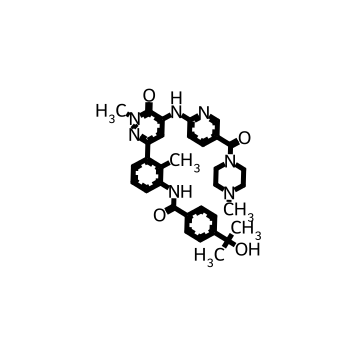 Cc1c(NC(=O)c2ccc(C(C)(C)O)cc2)cccc1-c1cc(Nc2ccc(C(=O)N3CCN(C)CC3)cn2)c(=O)n(C)n1